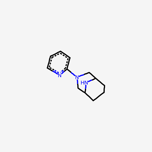 c1ccc(N2CC3CCCC(C2)N3)nc1